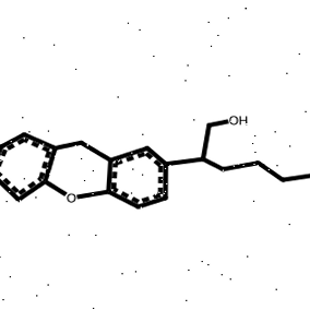 CCCCC(CO)c1ccc2c(c1)Cc1ccccc1O2